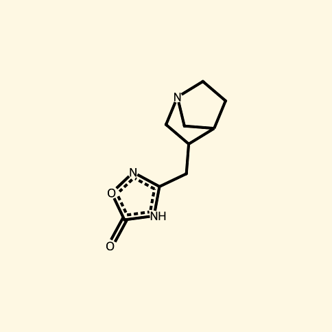 O=c1[nH]c(CC2CN3CCC2C3)no1